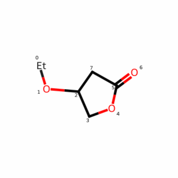 CCOC1COC(=O)C1